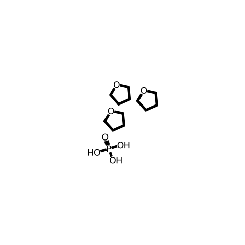 C1CCOC1.C1CCOC1.C1CCOC1.O=P(O)(O)O